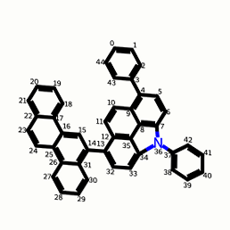 c1ccc(-c2ccc3c4c2ccc2c(-c5cc6c7ccccc7ccc6c6ccccc56)ccc(c24)n3-c2ccccc2)cc1